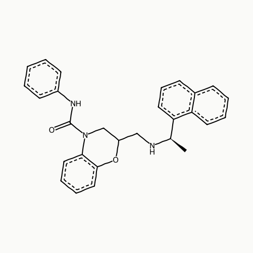 C[C@@H](NCC1CN(C(=O)Nc2ccccc2)c2ccccc2O1)c1cccc2ccccc12